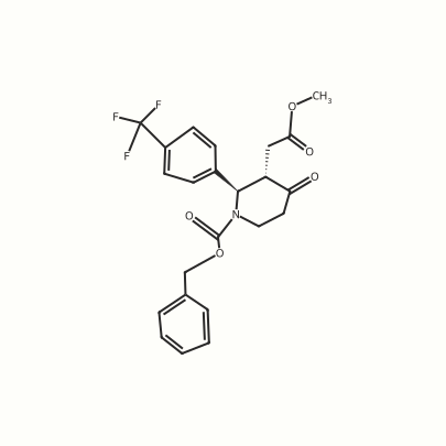 COC(=O)C[C@@H]1C(=O)CCN(C(=O)OCc2ccccc2)[C@H]1c1ccc(C(F)(F)F)cc1